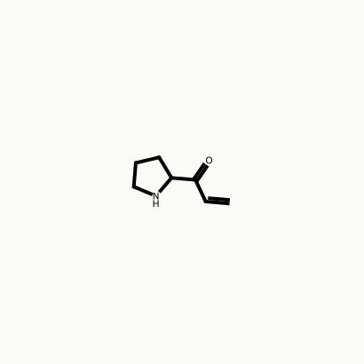 C=CC(=O)C1CCCN1